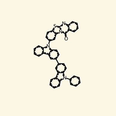 O=c1c2ccccc2nc2sc3ccc(-n4c5ccccc5c5cc(-c6ccc7c(c6)c6ccccc6n7-c6ccccc6)ccc54)cc3n12